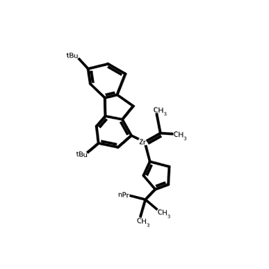 CCCC(C)(C)C1=CC[C]([Zr](=[C](C)C)[c]2cc(C(C)(C)C)cc3c2Cc2ccc(C(C)(C)C)cc2-3)=C1